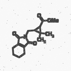 COC(=O)C1C(CN2C(=O)C3=C(CCCC3)C2=O)C1(C)C